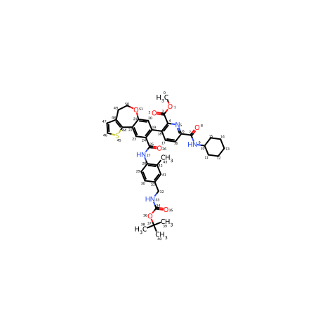 COC(=O)c1nc(C(=O)NC2CCCCC2)ccc1-c1cc2c(cc1C(=O)Nc1ccc(CNC(=O)OC(C)(C)C)cc1C)-c1sccc1CCO2